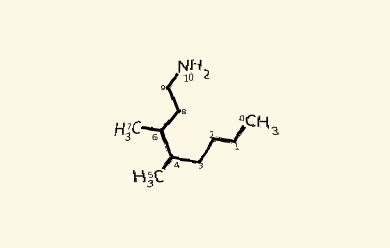 CCCCC(C)C(C)CCN